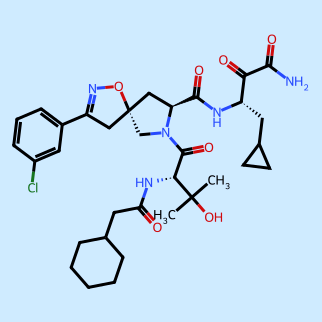 CC(C)(O)[C@H](NC(=O)CC1CCCCC1)C(=O)N1C[C@@]2(CC(c3cccc(Cl)c3)=NO2)C[C@H]1C(=O)N[C@@H](CC1CC1)C(=O)C(N)=O